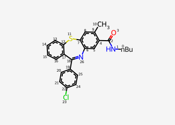 CCCCNC(=O)c1cc2c(cc1C)Sc1ccccc1C(c1ccc(Cl)cc1)=N2